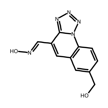 OCc1ccc2c(c1)cc(/C=N/O)c1nnnn12